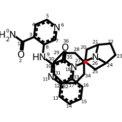 NC(=O)c1ccncc1Nc1nc2ccccc2n(C2CC3CCC(C2)N3C2CCCCCCC2)c1=O